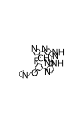 Cc1ccncc1-c1cc2c(-c3nc4c(-c5cc(F)cc(OCCN6CCCC6)c5)nccc4[nH]3)n[nH]c2cn1